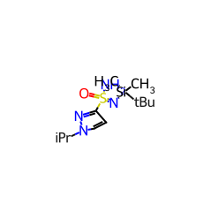 CC(C)n1ccc(S(N)(=O)=N[Si](C)(C)C(C)(C)C)n1